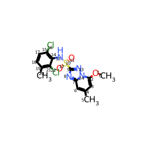 COc1cc(C)cc2nc(S(=O)(=O)Nc3c(Cl)ccc(C)c3Cl)nn12